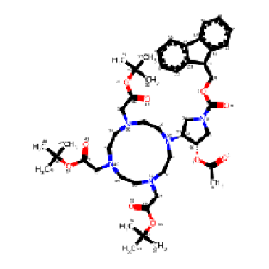 CC(=O)O[C@H]1CN(C(=O)OCC2c3ccccc3-c3ccccc32)C[C@@H]1N1CCN(CC(=O)OC(C)(C)C)CCN(CC(=O)OC(C)(C)C)CCN(CC(=O)OC(C)(C)C)CC1